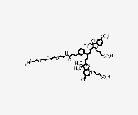 CC1(C)C(/C=C/C(=C/C=C2\N(CCCS(=O)(=O)O)c3ccc(S(=O)(=O)O)cc3C2(C)C)c2cccc(CCC(=O)NCCOCCOCCOCCN=[N+]=[N-])c2)=Nc2c1cc(Cl)c[n+]2CCCS(=O)(=O)O